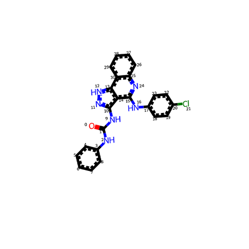 O=C(Nc1ccccc1)Nc1n[nH]c2c1c(Nc1ccc(Cl)cc1)nc1ccccc12